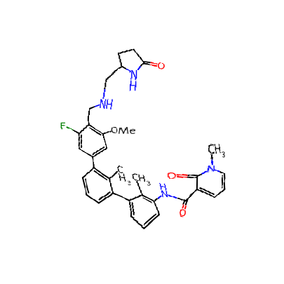 COc1cc(-c2cccc(-c3cccc(NC(=O)c4cccn(C)c4=O)c3C)c2C)cc(F)c1CNCC1CCC(=O)N1